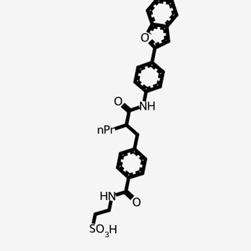 CCCC(Cc1ccc(C(=O)NCCS(=O)(=O)O)cc1)C(=O)Nc1ccc(-c2cc3ccccc3o2)cc1